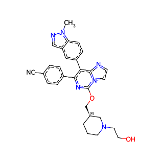 Cn1ncc2cc(-c3c(-c4ccc(C#N)cc4)nc(OC[C@@H]4CCCN(CCO)C4)n4ccnc34)ccc21